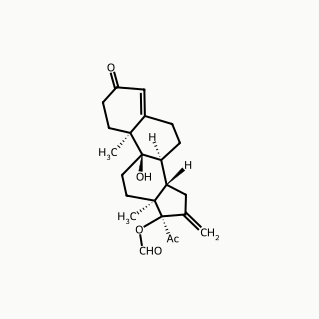 C=C1C[C@H]2[C@@H]3CCC4=CC(=O)CC[C@]4(C)[C@@]3(O)CC[C@]2(C)[C@@]1(OC=O)C(C)=O